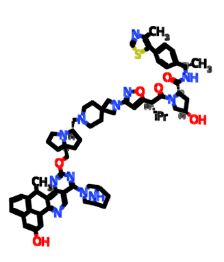 Cc1ncsc1-c1ccc([C@H](C)NC(=O)[C@@H]2C[C@@H](O)CN2C(=O)[C@@H](c2cc(N3CC4(CCN(C[C@@H]5CC[C@]6(COc7nc(N8CC9CCC(C8)N9)c8cnc9c(c8n7)C(C)c7cccc8cc(O)cc-9c78)CCCN56)CC4)C3)no2)C(C)C)cc1